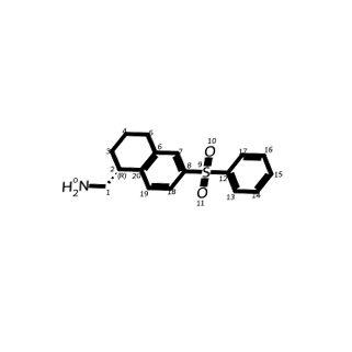 NC[C@@H]1CCCc2cc(S(=O)(=O)c3ccccc3)ccc21